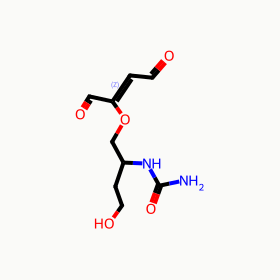 NC(=O)NC(CCO)CO/C(C=O)=C\C=O